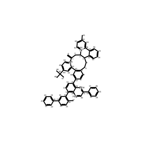 C=C1CC2C(CCc3ccc(-c4ccc(-c5cc(-c6ccccc6)ccc5C)c5ncc(-c6ccccc6)nc45)cc3-c3cc(C(C)(C)C)cc[n+]31)c1ccccc1-c1cc(C)cc[n+]12